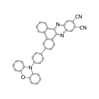 N#Cc1cc2nc3c4ccccc4c4cc(-c5ccc(N6c7ccccc7Oc7ccccc76)cc5)ccc4c3nc2cc1C#N